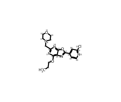 CCCOc1nc(CN2CCOCC2)nc2oc(-c3ccnc(Cl)c3)nc12